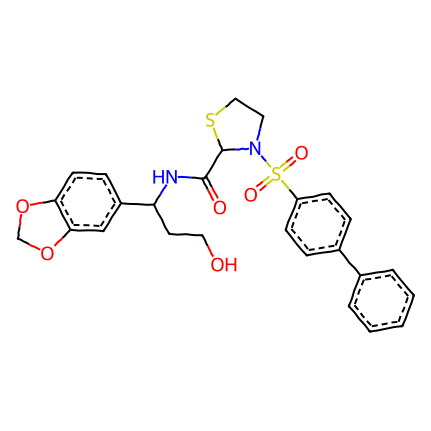 O=C(NC(CCO)c1ccc2c(c1)OCO2)C1SCCN1S(=O)(=O)c1ccc(-c2ccccc2)cc1